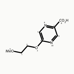 COCCOc1cnc(C(=O)O)cn1